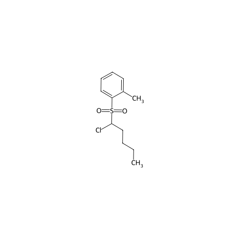 CCCCC(Cl)S(=O)(=O)c1ccccc1C